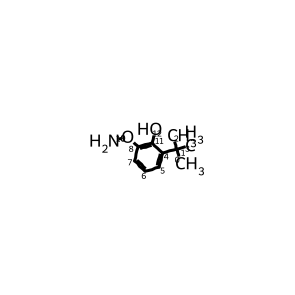 CC(C)(C)c1cccc(ON)c1O